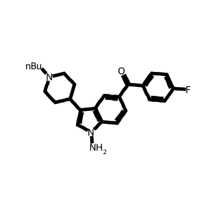 CCCCN1CCC(c2cn(N)c3ccc(C(=O)c4ccc(F)cc4)cc23)CC1